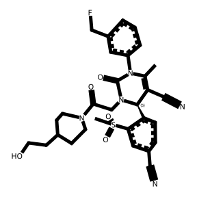 CC1=C(C#N)[C@@H](c2ccc(C#N)cc2S(C)(=O)=O)N(CC(=O)N2CCC(CCO)CC2)C(=O)N1c1cccc(CF)c1